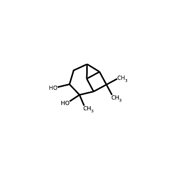 CC1(C)C2C3CC(O)C(C)(O)C1C32